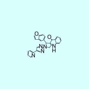 O=c1c2c([nH]c3ccccc13)CN(c1ncc(-c3ccccn3)cn1)C2c1ccc2occc2c1